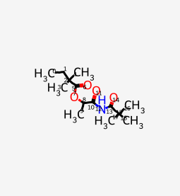 CCC(C)(C)C(=O)OC(C)C(=O)NC(=O)C(C)(C)C